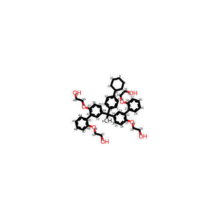 CC(c1ccc(C2CCCCC2)cc1)(c1ccc(OCCO)c(-c2ccccc2OCCO)c1)c1ccc(OCCO)c(-c2ccccc2OCCO)c1